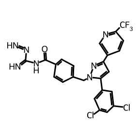 N=NC(=N)NC(=O)c1ccc(Cn2nc(-c3ccc(C(F)(F)F)nc3)cc2-c2cc(Cl)cc(Cl)c2)cc1